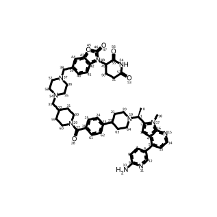 C[C@@H](c1cc2c(-c3ccc(N)nc3)ccnc2n1C)N1CCC(c2ccc(C(=O)N3CCC(CN4CCN(Cc5ccc6c(c5)oc(=O)n6C5CCC(=O)NC5=O)CC4)CC3)cc2)CC1